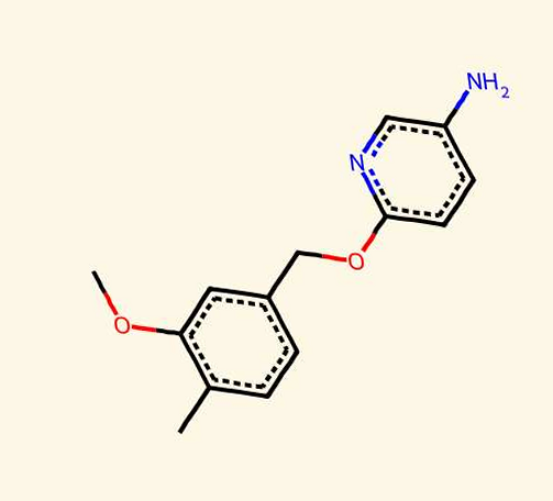 COc1cc(COc2ccc(N)cn2)ccc1C